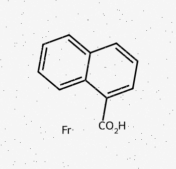 O=C(O)c1cccc2ccccc12.[Fr]